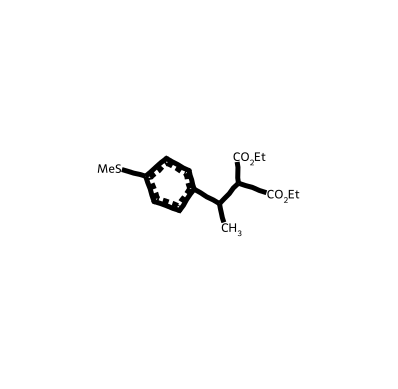 CCOC(=O)C(C(=O)OCC)C(C)c1ccc(SC)cc1